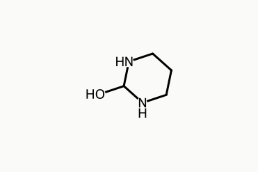 OC1NCCCN1